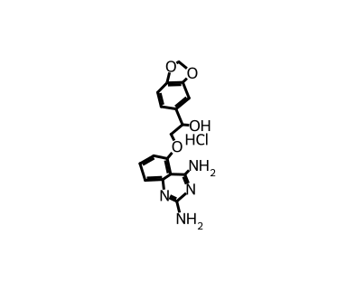 Cl.Nc1nc(N)c2c(OCC(O)c3ccc4c(c3)OCO4)cccc2n1